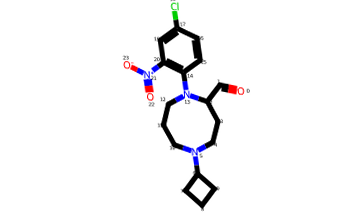 O=CC1CCN(C2CCC2)CCCN1c1ccc(Cl)cc1[N+](=O)[O-]